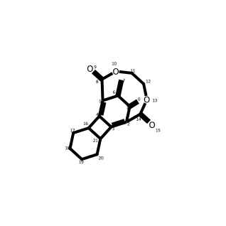 C=c1c2c3c(c(c1=C)C(=O)OCCOC2=O)C1CCCCC31